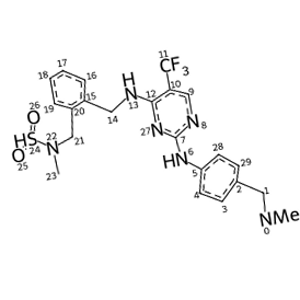 CNCc1ccc(Nc2ncc(C(F)(F)F)c(NCc3ccccc3CN(C)[SH](=O)=O)n2)cc1